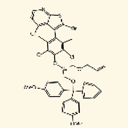 C=CCOC[C@H](COC(c1ccccc1)(c1ccc(OC)cc1)c1ccc(OC)cc1)Oc1c(Cl)c(C)c(-c2c(Br)sc3ncnc(Cl)c23)c(C)c1Cl